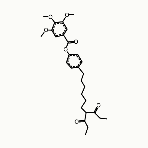 CCC(=O)C(CCCCCCc1ccc(OC(=O)c2cc(OC)c(OC)c(OC)c2)cc1)C(=O)CC